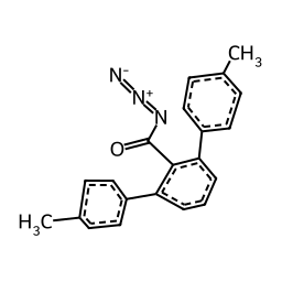 Cc1ccc(-c2cccc(-c3ccc(C)cc3)c2C(=O)N=[N+]=[N-])cc1